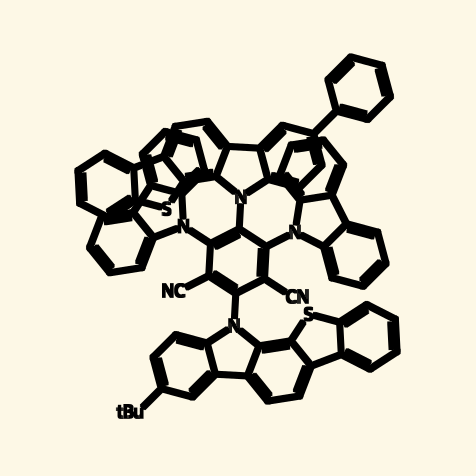 CC(C)(C)c1ccc2c(c1)c1ccc3c4ccccc4sc3c1n2-c1c(C#N)c(-n2c3ccccc3c3ccccc32)c(-n2c3ccc(-c4ccccc4)cc3c3ccc4c5ccccc5sc4c32)c(-n2c3ccccc3c3ccccc32)c1C#N